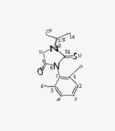 Cc1cccc(C)c1N1C(=O)CN(C(C)C)C1=S